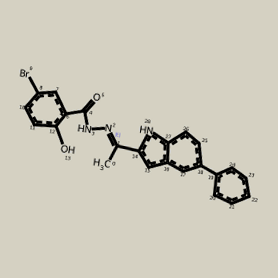 C/C(=N\NC(=O)c1cc(Br)ccc1O)c1cc2cc(-c3ccccc3)ccc2[nH]1